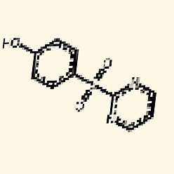 O=S(=O)(c1ccc(O)cc1)c1ncccn1